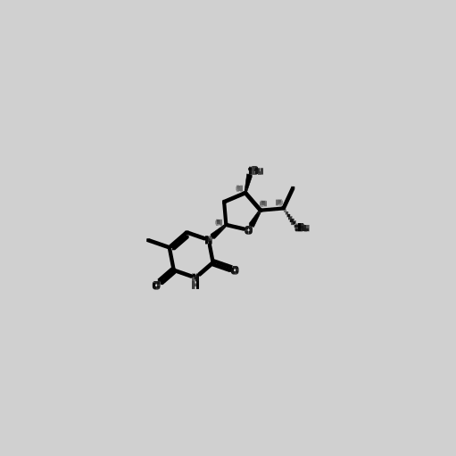 Cc1cn([C@H]2C[C@@H](C(C)(C)C)[C@@H]([C@H](C)C(C)(C)C)O2)c(=O)[nH]c1=O